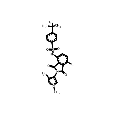 Cc1nn(C)cc1N1C(=O)c2c(Cl)ccc(NS(=O)(=O)c3ccc(C(C)(C)C)cc3)c2C1=O